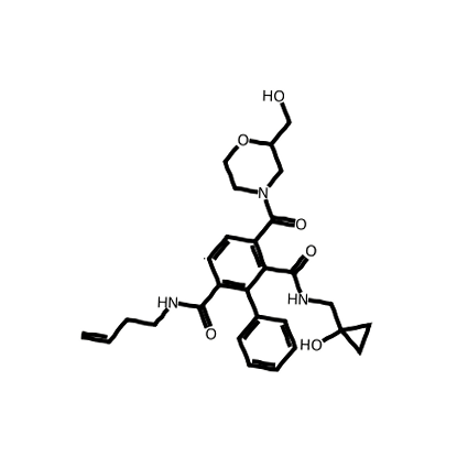 C=CCCNC(=O)c1[c]cc(C(=O)N2CCOC(CO)C2)c(C(=O)NCC2(O)CC2)c1-c1ccccc1